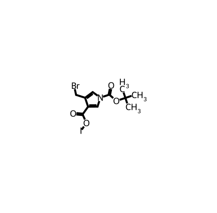 CC(C)(C)OC(=O)n1cc(CBr)c(C(=O)OI)c1